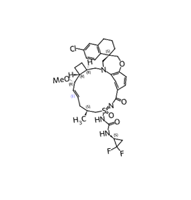 CO[C@H]1/C=C/C[C@H](C)CS(=O)(NC(=O)N[C@H]2CC2(F)F)=NC(=O)c2ccc3c(c2)N(C[C@@H]2CC[C@H]21)C[C@@]1(CCCc2cc(Cl)ccc21)CO3